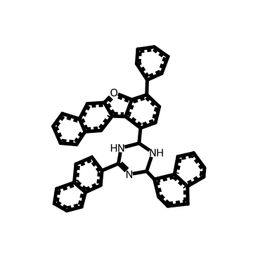 c1ccc(-c2ccc(C3NC(c4ccc5ccccc5c4)=NC(c4cccc5ccccc45)N3)c3c2oc2cc4ccccc4cc23)cc1